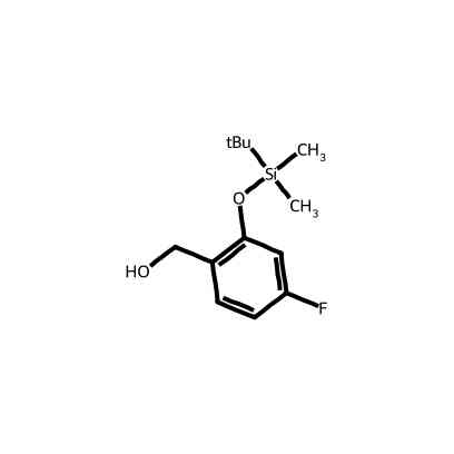 CC(C)(C)[Si](C)(C)Oc1cc(F)ccc1CO